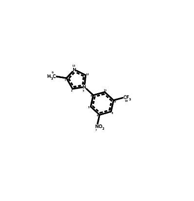 Cc1cn(-c2cc([N+](=O)[O-])cc(C(F)(F)F)c2)cn1